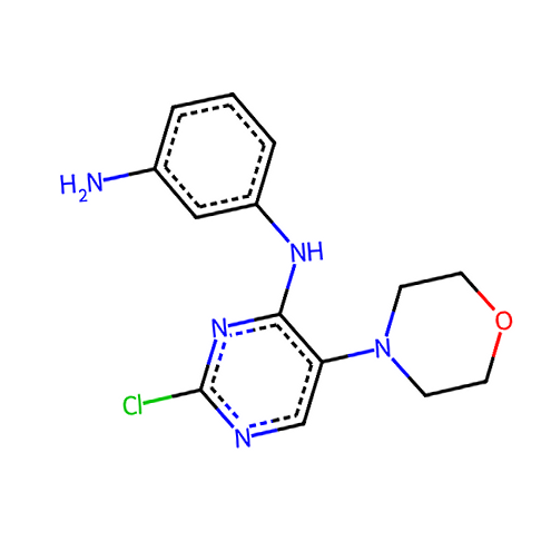 Nc1cccc(Nc2nc(Cl)ncc2N2CCOCC2)c1